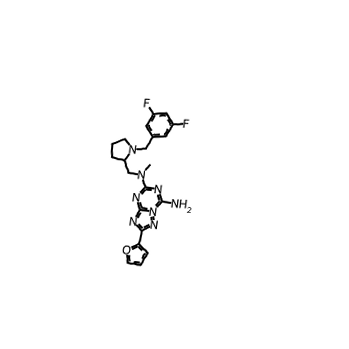 CN(CC1CCCN1Cc1cc(F)cc(F)c1)c1nc(N)n2nc(-c3ccco3)nc2n1